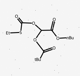 CCCCOC(=O)C(OC(=O)SCC)OC(=O)C(C)(C)C